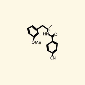 COc1cccc(C[C@H](C)NC(=O)c2ccc(C#N)cc2)c1